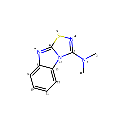 CN(C)c1nsc2nc3ccccc3n12